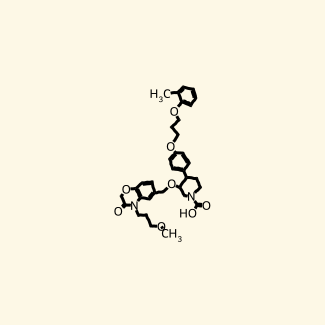 COCCCN1C(=O)COc2ccc(COC3CN(C(=O)O)CCC3c3ccc(OCCCOc4ccccc4C)cc3)cc21